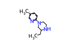 CCC1CN(c2ccc(C)cn2)CCN1